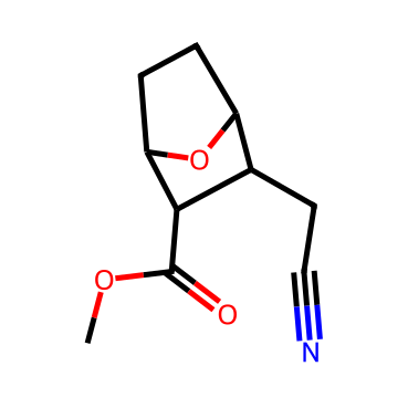 COC(=O)C1C2CCC(O2)C1CC#N